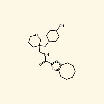 O=C(NCC1(CN2CCC(O)CC2)CCCOC1)c1cc2c(s1)CCCCCC2